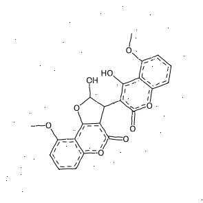 COc1cccc2oc(=O)c(C3c4c(c5c(OC)cccc5oc4=O)OC3O)c(O)c12